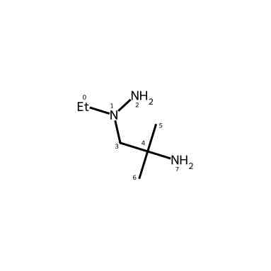 CCN(N)CC(C)(C)N